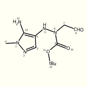 Cn1ncc(NN(CC=O)C(=O)OC(C)(C)C)c1N